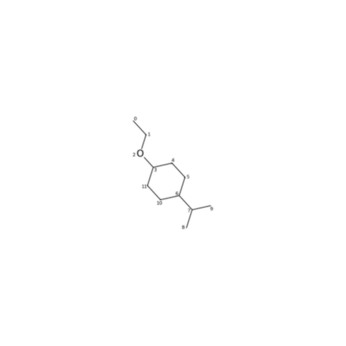 CCOC1CCC(C(C)C)CC1